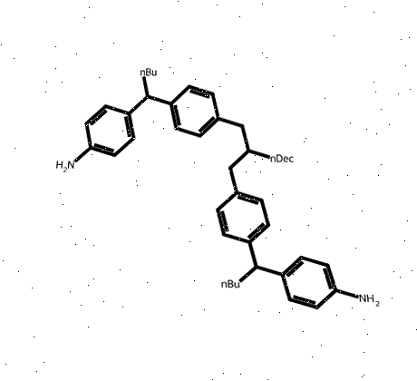 CCCCCCCCCCC(Cc1ccc(C(CCCC)c2ccc(N)cc2)cc1)Cc1ccc(C(CCCC)c2ccc(N)cc2)cc1